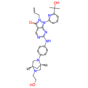 C=CCn1c(=O)c2cnc(Nc3ccc(N4C[C@@H]5C[C@H]4CN5CCO)cc3)nc2n1-c1cccc(C(C)(C)O)n1